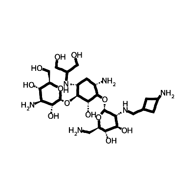 NC[C@H]1O[C@H](OC2[C@@H](N)C[C@@H](NC(CO)CO)[C@H](O[C@H]3O[C@H](CO)[C@@H](O)[C@H](N)[C@H]3O)[C@H]2O)[C@H](NCC2CC(N)C2)[C@@H](O)[C@@H]1O